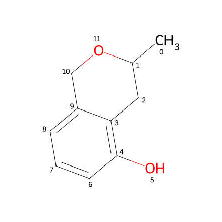 CC1Cc2c(O)cccc2CO1